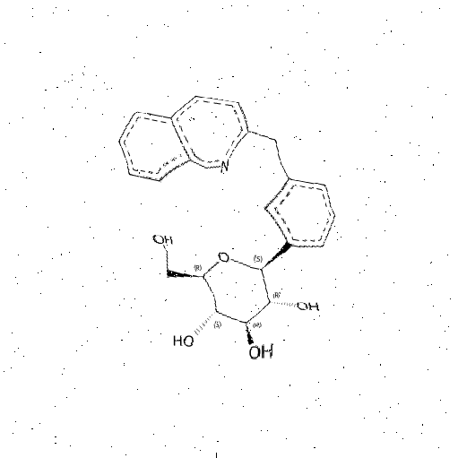 OC[C@H]1O[C@@H](c2cccc(Cc3ccc4ccccc4n3)c2)[C@H](O)[C@@H](O)[C@@H]1O